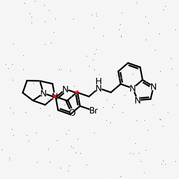 O=C(CCNCc1cccc2ncnn12)N1CC2CCC(C1)N2c1ccc(Br)cn1